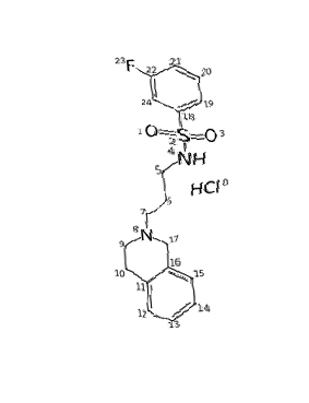 Cl.O=S(=O)(NCCCN1CCc2ccccc2C1)c1cccc(F)c1